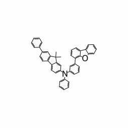 CC1(C)c2cc(-c3ccccc3)ccc2-c2ccc(N(c3ccccc3)c3cccc(-c4cccc5c4oc4ccccc45)c3)cc21